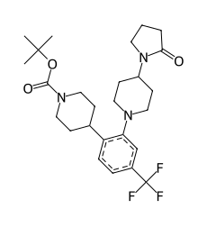 CC(C)(C)OC(=O)N1CCC(c2ccc(C(F)(F)F)cc2N2CCC(N3CCCC3=O)CC2)CC1